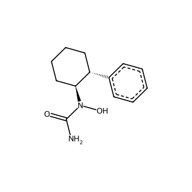 NC(=O)N(O)[C@H]1CCCC[C@@H]1c1ccccc1